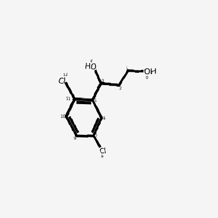 OCCC(O)c1cc(Cl)ccc1Cl